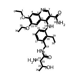 CCOc1cc2ncc(C(N)=O)c(Nc3cccc(CNC(=O)[C@@H](N)C(C)O)c3CC)c2cc1OCC